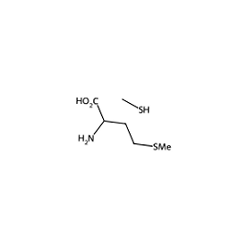 CS.CSCCC(N)C(=O)O